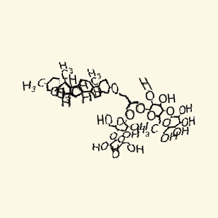 CCC1O[C@@H](OCC(CCO[C@H]2CC[C@@]3(C)C(=CC[C@H]4[C@@H]5C[C@@H]6O[C@]7(CC[C@@H](C)CO7)[C@@H](C)[C@@H]6[C@@]5(C)CC[C@@H]43)C2)CO[C@@H]2OC(CO)[C@@H](O[C@H]3OC(CO)[C@H]4OC4[C@@H]3O)C(O)[C@@H]2O)[C@@H](O)C(O)[C@@H]1O[C@H]1OC(CO)[C@@H](O)C(O)[C@@H]1O